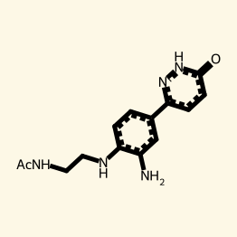 CC(=O)NCCNc1ccc(-c2ccc(=O)[nH]n2)cc1N